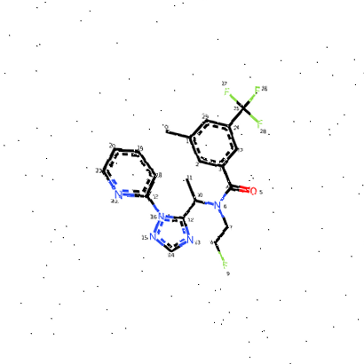 Cc1cc(C(=O)N(CCF)C(C)c2ncnn2-c2ccccn2)cc(C(F)(F)F)c1